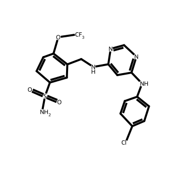 NS(=O)(=O)c1ccc(OC(F)(F)F)c(CNc2cc(Nc3ccc(Cl)cc3)ncn2)c1